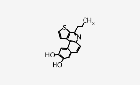 CCCc1nc2ccc3cc(O)c(O)cc3c2c2ccsc12